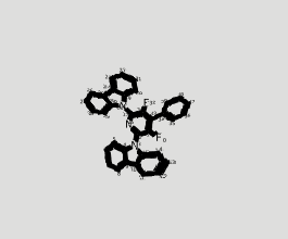 Fc1c(-n2c3ccccc3c3ccccc32)nc(-n2c3ccccc3c3ccccc32)c(F)c1-c1ccccc1